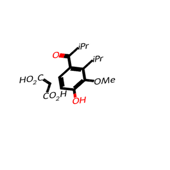 COc1c(O)ccc(C(=O)C(C)C)c1C(C)C.O=C(O)CC(=O)O